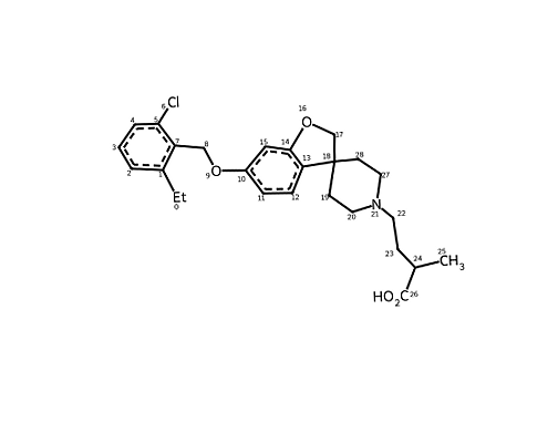 CCc1cccc(Cl)c1COc1ccc2c(c1)OCC21CCN(CCC(C)C(=O)O)CC1